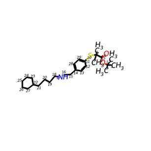 CC(C)(C)OC(=O)C(C)(C)Sc1ccc(CCNCCCCC2CCCCC2)cc1